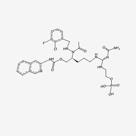 CC(=O)N(NCc1cccc(F)c1Cl)[C@@H](CCCN/C(=N\C(N)=O)NCCOP(=O)(O)O)COC(=O)Nc1cc2ccccc2cn1